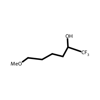 COCCCCC(O)C(F)(F)F